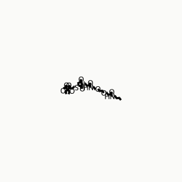 CCCCNC(=O)CCOCCOCCNC(=O)CCN1C(=O)CC(SCCC(=O)C(C(C)=O)(C(C)=O)C(C)=O)C1=O